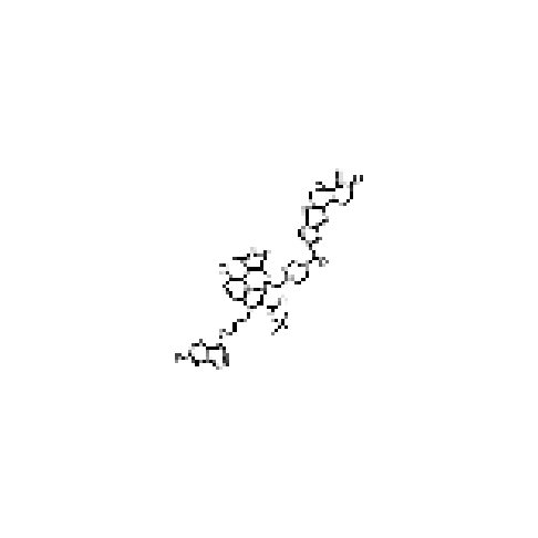 Cc1nc2ccc(C(=O)N3CCN(CCn4c(C(=O)OC(C)(C)C)c(CCCOc5cccc6cc(F)ccc56)c5ccc(Cl)c(-c6c(C)nn(C)c6C)c54)CC3)cc2cc1C1CCC(=O)NC1=O